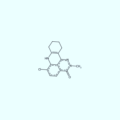 Cn1nc2c3c(c(Cl)ccc3c1=O)NC1=C2CCCC1